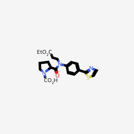 CCOC(=O)CCN(C(=O)C1CCCN1C(=O)O)c1ccc(-c2nccs2)cc1